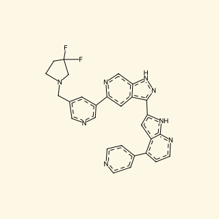 FC1(F)CCN(Cc2cncc(-c3cc4c(-c5cc6c(-c7ccncc7)ccnc6[nH]5)n[nH]c4cn3)c2)C1